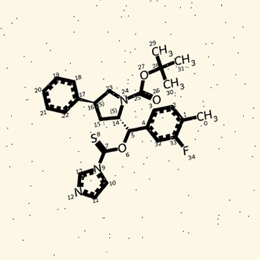 Cc1ccc(C(OC(=S)n2ccnc2)[C@@H]2C[C@@H](c3ccccc3)CN2C(=O)OC(C)(C)C)cc1F